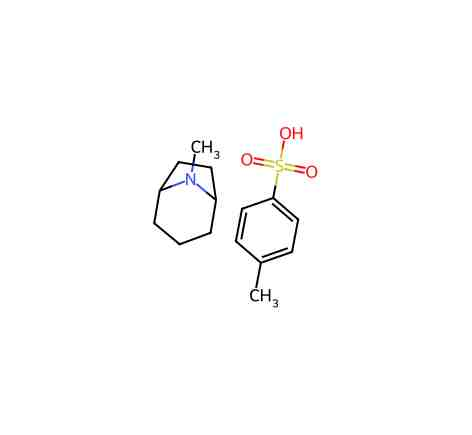 CN1C2CCCC1CC2.Cc1ccc(S(=O)(=O)O)cc1